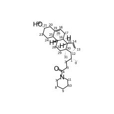 C[C@H](CCC(=O)N1CCCCC1)[C@H]1C=C[C@H]2[C@@H]3CC=C4C[C@@H](O)CC[C@]4(C)[C@H]3CC[C@]12C